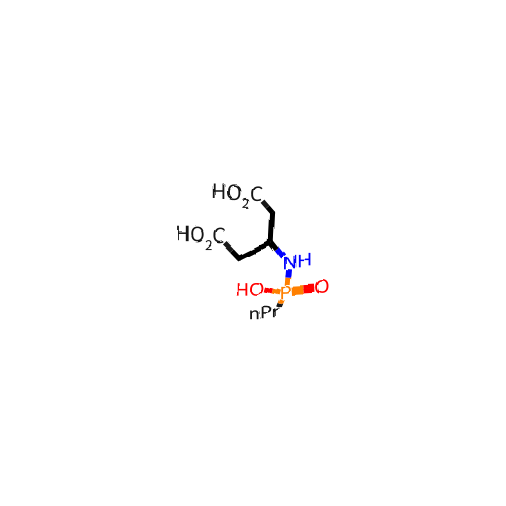 CCCP(=O)(O)NC(CC(=O)O)CC(=O)O